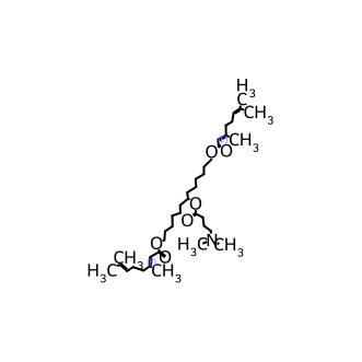 CC(C)=CCC/C(C)=C/C(=O)OCCCCCCC(CCCCCCOC(=O)/C=C(\C)CCC=C(C)C)OC(=O)CCCN(C)C